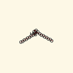 COCCOCCOCCOCCOCCOCCOCCOCCNC(=O)c1cc(C(=O)NCCOCCOCCOCCOCCOCCOCCOCCOC)cc(N2C(=O)C=CC2=O)c1